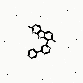 Cc1ccc2c(n1)oc1c(-c3cc(-c4ccccc4)ccn3)c(C)ccc12